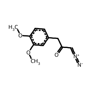 COc1ccc(CC(=O)C=[N+]=[N-])cc1OC